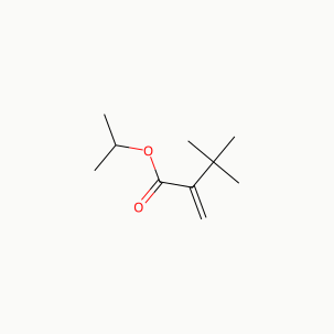 C=C(C(=O)OC(C)C)C(C)(C)C